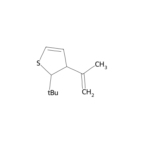 C=C(C)C1C=CSC1C(C)(C)C